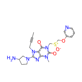 CC#CCn1c(N2CCC(N)C2)nc2c1c(=O)n(C[S+]([O-])COc1cccnc1)c(=O)n2C